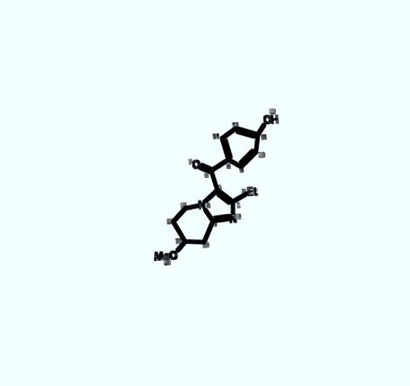 CCc1nc2n(c1C(=O)c1ccc(O)cc1)CCC(OC)C2